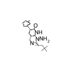 CC(C)(C)C/C=C1/N=Cc2cc(-c3cccs3)c(=O)[nH]c2N1N